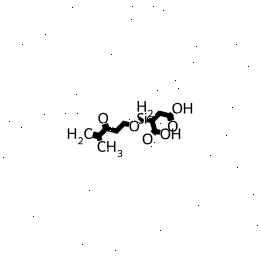 C=C(C)C(=O)CCO[SiH2]C(CC(=O)O)C(=O)O